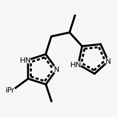 Cc1nc(CC(C)c2cnc[nH]2)[nH]c1C(C)C